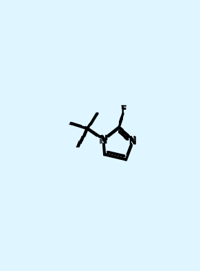 CC(C)(C)n1ccnc1F